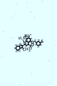 Cc1c(-c2cc(C(=O)[O-])c3c(OCc4cccc(F)c4)ccc(C)c3n2)sc2ccccc12.[Na+]